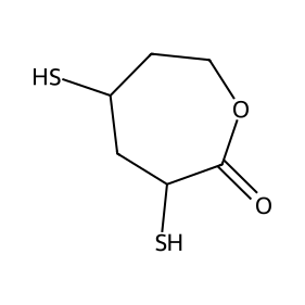 O=C1OCCC(S)CC1S